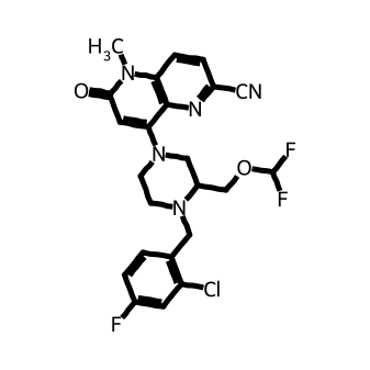 Cn1c(=O)cc(N2CCN(Cc3ccc(F)cc3Cl)C(COC(F)F)C2)c2nc(C#N)ccc21